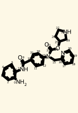 Nc1ccccc1NC(=O)c1ccc(N(Cc2ccccn2)C(=O)OC2CCNC2)cc1